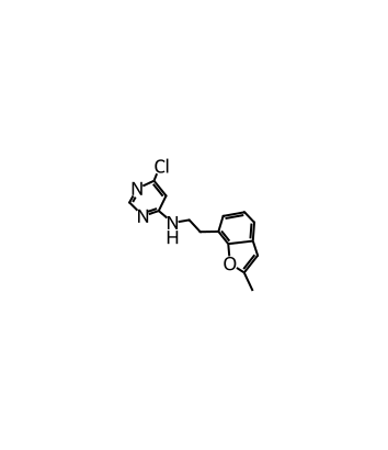 Cc1cc2cccc(CCNc3cc(Cl)ncn3)c2o1